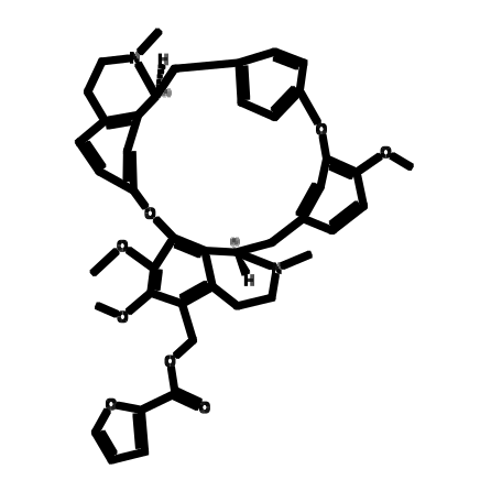 COc1ccc2cc1Oc1ccc(cc1)C[C@H]1c3cc(ccc3CCN1C)Oc1c(OC)c(OC)c(COC(=O)c3ccco3)c3c1[C@H](C2)N(C)CC3